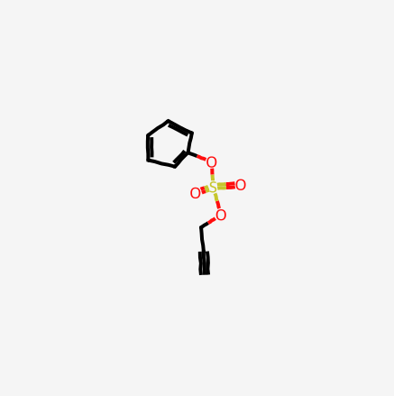 C#CCOS(=O)(=O)Oc1ccccc1